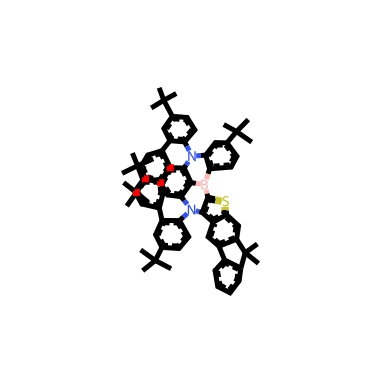 CC(C)(C)c1ccc(-c2cc(C(C)(C)C)ccc2N2c3cc(C(C)(C)C)ccc3B3c4sc5cc6c(cc5c4N(c4ccc(C(C)(C)C)cc4-c4ccc(C(C)(C)C)cc4)c4cccc2c43)-c2ccccc2C6(C)C)cc1